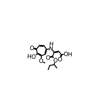 CCC(C)OC(=O)C(=CC(=O)O)Nc1ccc(=O)c(O)c(OC)c1